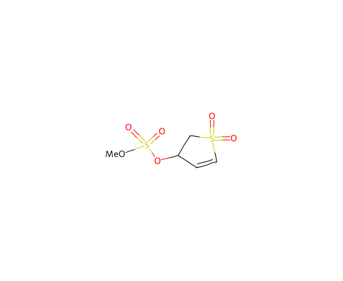 COS(=O)(=O)OC1C=CS(=O)(=O)C1